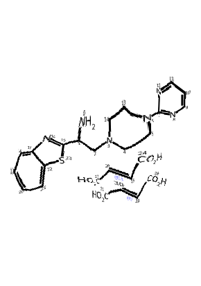 NC(CN1CCN(c2ncccn2)CC1)c1nc2ccccc2s1.O=C(O)/C=C/C(=O)O.O=C(O)/C=C/C(=O)O